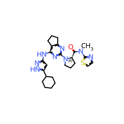 CN(C(=O)[C@H]1CCCN1c1nc2c(c(Nc3cc(C4CCCCC4)[nH]n3)n1)CCC2)c1nccs1